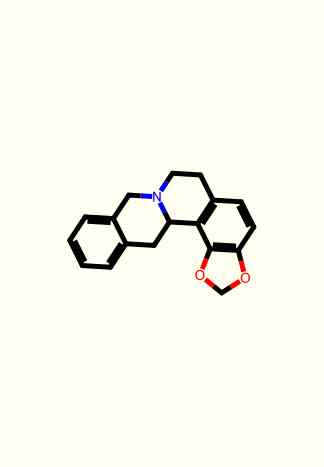 c1ccc2c(c1)CC1c3c(ccc4c3OCO4)CCN1C2